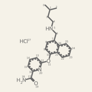 CC(C)CCNCc1ccc(Oc2cccc(C(N)=O)n2)c2ccccc12.Cl